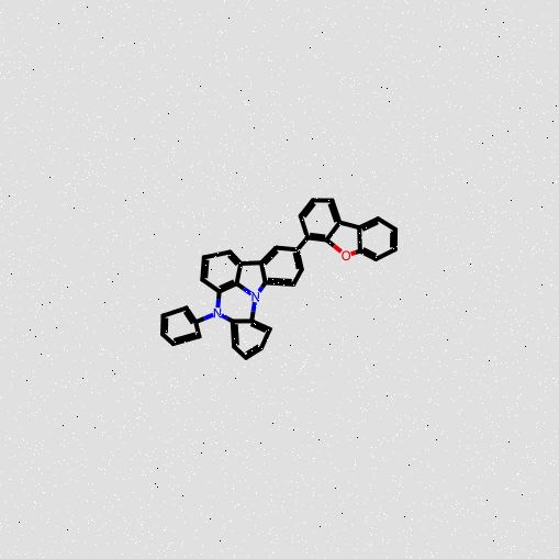 c1ccc(N2c3ccccc3-n3c4ccc(-c5cccc6c5oc5ccccc56)cc4c4cccc2c43)cc1